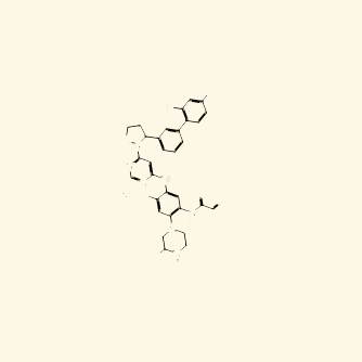 C=CC(=O)Nc1cc(Nc2cc(N3OCCC3c3cccc(-c4ccc(F)cc4F)c3)ncn2)c(OC)cc1N1CCN(C)C(C)C1